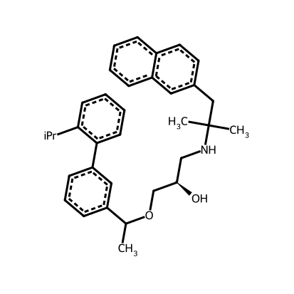 CC(C)c1ccccc1-c1cccc(C(C)OC[C@H](O)CNC(C)(C)Cc2ccc3ccccc3c2)c1